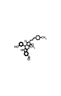 CCOc1ccc2[nH]c3c(c2c1)CC1(C)C(=O)N(CCCN2CCC(C)CC2)C(=O)N1C3c1cccc(O)c1